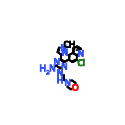 Cn1ccc(-c2nc(N)c(NCCN3CCOCC3)nc2-c2cc(Cl)c3ncccc3c2)n1